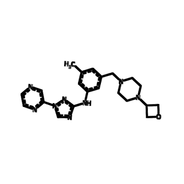 Cc1cc(CN2CCN(C3COC3)CC2)cc(Nc2ncn(-c3cnccn3)n2)c1